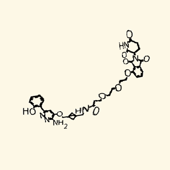 Nc1nnc(-c2ccccc2O)cc1OCC12CC(CNC(=O)CCOCCOCCOc3cccc4c3C(=O)N(C3CCC(=O)NC3=O)C4=O)(C1)C2